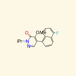 COc1c(-c2cccc3c(F)cccc23)cnn(C(C)C)c1=O